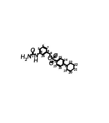 NC(=O)Nc1cccc(COS(=O)(=O)c2ccc(C3CCCCC3)cc2)c1